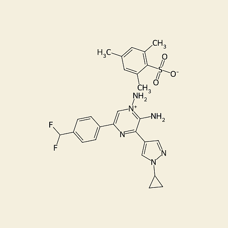 Cc1cc(C)c(S(=O)(=O)[O-])c(C)c1.Nc1c(-c2cnn(C3CC3)c2)nc(-c2ccc(C(F)F)cc2)c[n+]1N